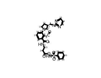 CO[C@H]1[C@H](CNc2ncccn2)CCN1c1cccc(C(=O)NCCC(=O)ONS(=O)(=O)c2ccccc2)c1